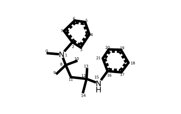 CN(c1ccccc1)C(C)(C)CC(C)(C)Nc1ccccc1